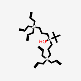 C=CC[Si](CC=C)(CC=C)CCC[Si](O)(CCC[Si](CC=C)(CC=C)CC=C)C(C)(C)C